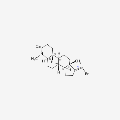 CN1C(=O)CC[C@@H]2[C@H]3CC[C@]4(C)/C(=C/Br)CC[C@H]4[C@@H]3CC[C@H]21